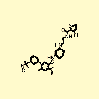 COc1cc(C)c(-c2cccc(C(C)(C)N=O)c2)cc1SNc1cccc(NCCNC(=O)c2sccc2Cl)c1